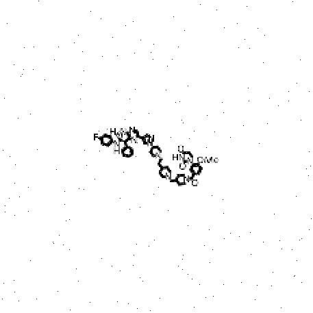 COc1ccc(C(=O)N2CCC(CN3CCC(CCN4CCC(n5cc(-c6cnc(N)c([C@H](C(=O)Nc7ccc(F)cc7)c7ccccc7)n6)cn5)CC4)CC3)CC2)cc1N1CCC(=O)NC1=O